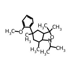 COc1ccccc1C1(C)CC(C)C2C(C1)C(C)(C)ON2C(C)C